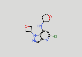 Clc1cc(NC2CCOC2)c2c(cnn2C2COC2)n1